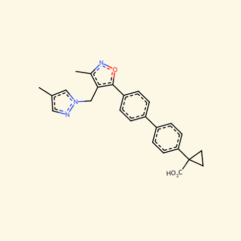 Cc1cnn(Cc2c(C)noc2-c2ccc(-c3ccc(C4(C(=O)O)CC4)cc3)cc2)c1